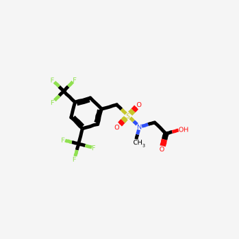 CN(CC(=O)O)S(=O)(=O)Cc1cc(C(F)(F)F)cc(C(F)(F)F)c1